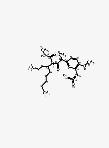 CCCCCC(CCC)N(C(=O)C(C)c1ccc(OC)c(N=S(=O)=O)c1)C(=S)NC